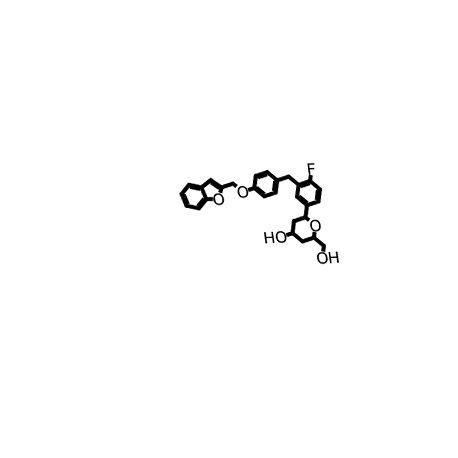 OCC1CC(O)CC(c2ccc(F)c(Cc3ccc(OCc4cc5ccccc5o4)cc3)c2)O1